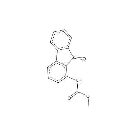 COC(=O)Nc1cccc2c1C(=O)c1ccccc1-2